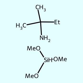 CCC(C)(C)N.CO[SiH](OC)OC